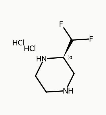 Cl.Cl.FC(F)[C@H]1CNCCN1